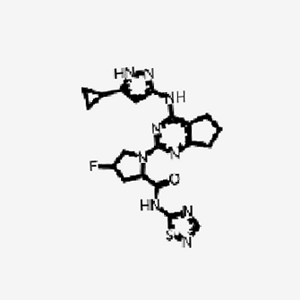 O=C(Nc1ncns1)C1CC(F)CN1c1nc2c(c(Nc3cc(C4CC4)[nH]n3)n1)CCC2